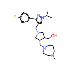 CC(C)n1cc(CN2CC(CO)C(CN3CCCN(C)CC3)C2)c(-c2ccc(F)cc2)n1